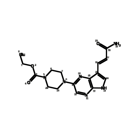 CC(C)(C)COC(=O)N1CCN(c2cnc3[nH]cc(/C=C/C(N)=O)c3n2)CC1